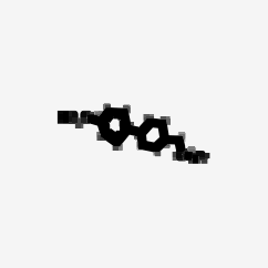 CCCOCC1CCC(c2ccc(C(=O)O)cc2)CC1